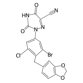 N#Cc1nn(-c2cc(Cl)c(Cc3ccc4c(c3)OCO4)c(Br)c2)c(=O)[nH]c1=O